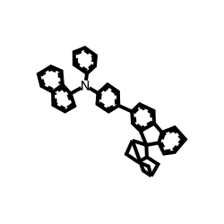 c1ccc(N(c2ccc(-c3ccc4c(c3)C3(c5ccccc5-4)C4CC5CC(C4)C3C5)cc2)c2cccc3ccccc23)cc1